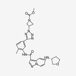 COC(=O)N1CC(n2nnc(-c3ccc(C)c(NC(=O)c4cnn5ccc(N[C@@H]6CCOC6)cc45)c3)n2)C1